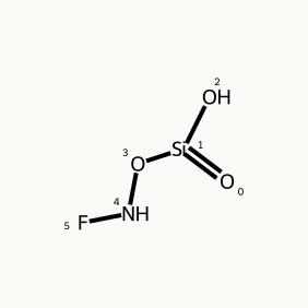 O=[Si](O)ONF